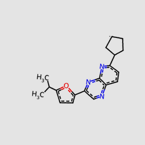 CC(C)c1ccc(-c2cnc3ccc(C4C[CH]CC4)nc3n2)o1